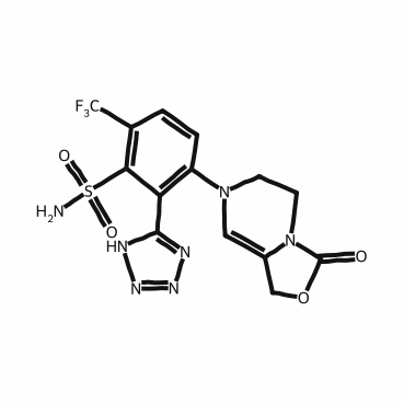 NS(=O)(=O)c1c(C(F)(F)F)ccc(N2C=C3COC(=O)N3CC2)c1-c1nnn[nH]1